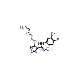 NSNCCOc1nonc1/C(=N/O)Nc1ccc(F)c(Br)c1